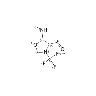 CNC1OCN(C(F)(F)F)C1C=O